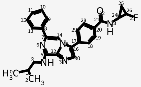 CC(C)CNc1nc(-c2ccccc2)cn2c(-c3ccc(C(=O)NC4CC4F)cc3)cnc12